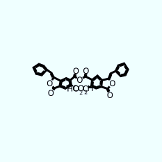 O=C(O)c1cc2c(cc1C(=O)OC(=O)c1cc3c(cc1C(=O)O)C(=O)O/C3=C\c1ccccc1)/C(=C/c1ccccc1)OC2=O